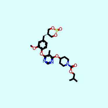 COc1cc(C[C@H]2CO[S@@](=O)OC2)ccc1Oc1ncnc(OC2CCN(C(=O)OCC(C)C)CC2)c1C